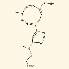 COCCN(C)c1cc(/C2=N/NC(C)/C=C\C(OC(C)C)=C/C2)ncn1